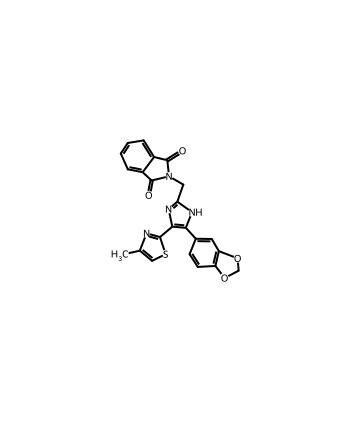 Cc1csc(-c2nc(CN3C(=O)c4ccccc4C3=O)[nH]c2-c2ccc3c(c2)OCO3)n1